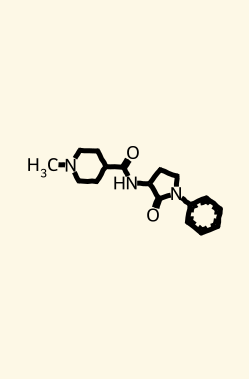 CN1CCC(C(=O)NC2CCN(c3ccccc3)C2=O)CC1